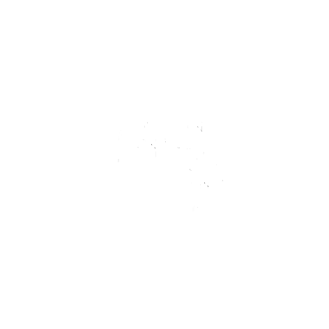 CC(C)CN1CCC(c2c[nH]c3ccc(NC(=O)c4ccco4)cc23)CC1